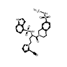 CNS(=O)(=O)c1ccc2c(c1)CN(C(=O)C(CCn1cccc1C#N)NS(=O)(=O)c1cccc3[nH]ccc13)CC2